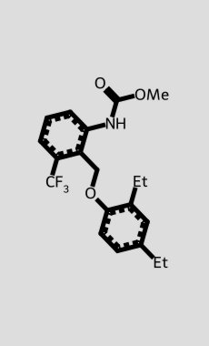 CCc1ccc(OCc2c(NC(=O)OC)cccc2C(F)(F)F)c(CC)c1